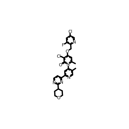 Cc1cnc(-c2ccnc(C3CCOCC3)n2)cc1-n1c(C)cc(OCc2ncc(Cl)cc2F)c(Cl)c1=O